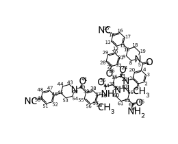 Cc1ccc(C(=O)N2CCC(c3ccc(C#N)cc3)CC2)cc1NC(=O)C(Oc1ccccc1)C(C(=O)Nc1cc(C(=O)N2CCC(c3ccc(C#N)cc3)CC2)ccc1C)N1CCC(C(N)=O)CC1